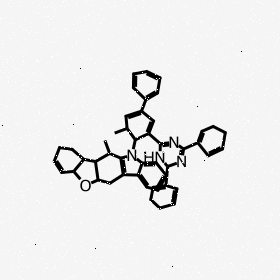 CC1C=C(c2ccccc2)C=C(C2=NC(C3=CCCC=C3)=NC(C3=CCCC=C3)N2)C1n1c2c(c3ccccc31)CC1OC3C=CCCC3C1C2C